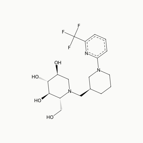 OC[C@@H]1[C@@H](O)[C@H](O)[C@@H](O)CN1C[C@@H]1CCCN(c2cccc(C(F)(F)F)n2)C1